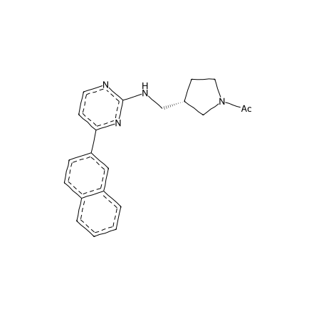 CC(=O)N1CC[C@@H](CNc2nccc(-c3ccc4ccccc4c3)n2)C1